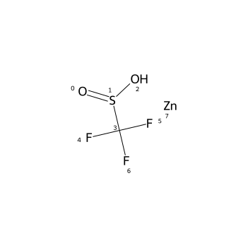 O=S(O)C(F)(F)F.[Zn]